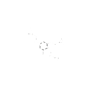 Cc1cc(OCC2CO2)cc(OCC2CO2)c1OCC1CO1